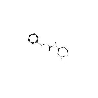 C[C@H]1C[C@@H](N(C)C(=O)OCc2ccccc2)CCN1